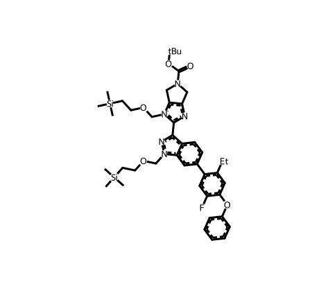 CCc1cc(Oc2ccccc2)c(F)cc1-c1ccc2c(-c3nc4c(n3COCC[Si](C)(C)C)CN(C(=O)OC(C)(C)C)C4)nn(COCC[Si](C)(C)C)c2c1